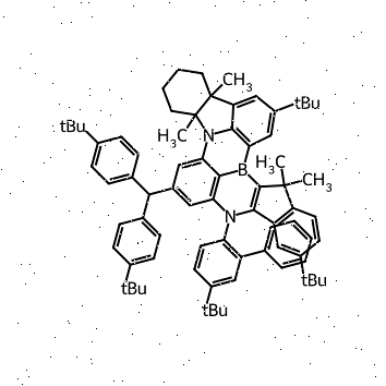 CC(C)(C)c1ccc(C(c2ccc(C(C)(C)C)cc2)c2cc3c4c(c2)N2c5c(cc(C(C)(C)C)cc5C5(C)CCCCC25C)B4C2=C(c4cc(C(C)(C)C)ccc4C2(C)C)N3c2ccc(C(C)(C)C)cc2-c2ccccc2)cc1